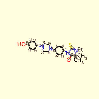 CCN1C(=S)N(c2ccc(N3CCN(c4ccc(O)cc4)CC3)cc2)C(=O)C1(C)C